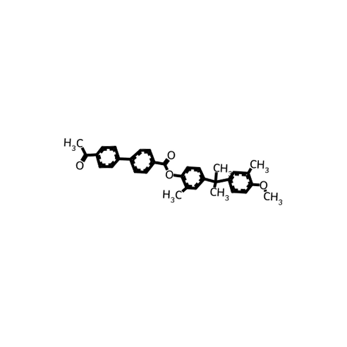 COc1ccc(C(C)(C)c2ccc(OC(=O)c3ccc(-c4ccc(C(C)=O)cc4)cc3)c(C)c2)cc1C